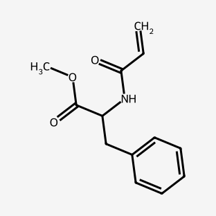 C=CC(=O)NC(Cc1ccccc1)C(=O)OC